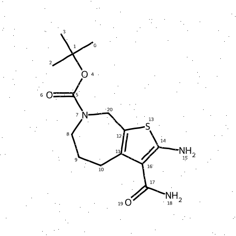 CC(C)(C)OC(=O)N1CCCc2c(sc(N)c2C(N)=O)C1